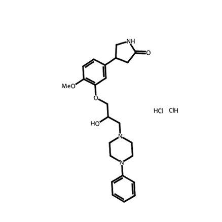 COc1ccc(C2CNC(=O)C2)cc1OCC(O)CN1CCN(c2ccccc2)CC1.Cl.Cl